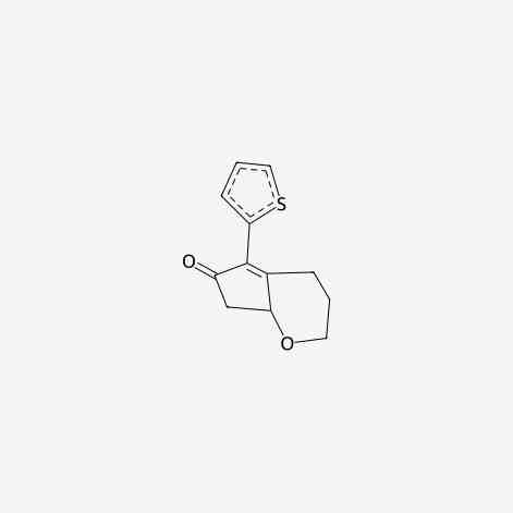 O=C1CC2OCCCC2=C1c1cccs1